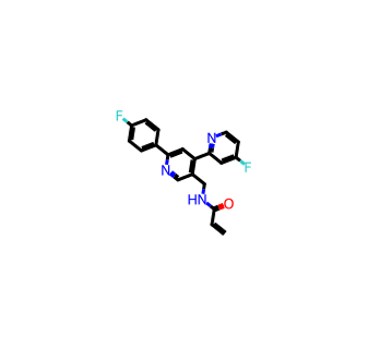 C=CC(=O)NCc1cnc(-c2ccc(F)cc2)cc1-c1cc(F)ccn1